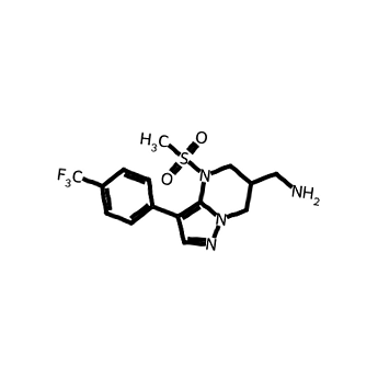 CS(=O)(=O)N1CC(CN)Cn2ncc(-c3ccc(C(F)(F)F)cc3)c21